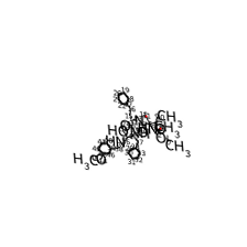 CCOC(=O)N[C@]1(C(C)CC)CCN([C@@H](CCc2ccccc2)C(=O)N[C@@H](Cc2ccccc2)[C@H](O)CNCc2cccc(OC)c2)C1=O